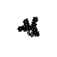 CC1(C)c2ccccc2-c2ccc(N(c3ccc(-c4ccccc4)cc3)c3ccc(-c4ccc5c(c4-c4ccc6ccccc6c4)OC4C=CC=CC54)cc3)cc21